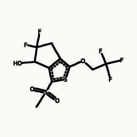 CS(=O)(=O)c1sc(OCC(F)(F)F)c2c1C(O)C(F)(F)C2